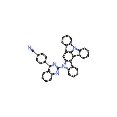 N#Cc1ccc(-c2nc(-n3c4ccccc4c4c5c6ccccc6n6c7ccccc7c(cc43)c56)nc3ccccc23)cc1